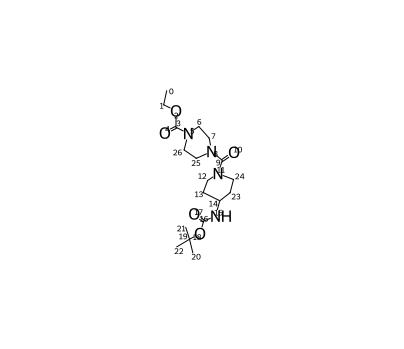 CCOC(=O)N1CCN(C(=O)N2CCC(NC(=O)OC(C)(C)C)CC2)CC1